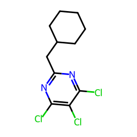 Clc1nc(CC2CCCCC2)nc(Cl)c1Cl